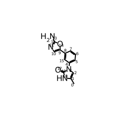 Cc1cn(-c2cccc(-c3cnc(N)o3)c2)c(=O)[nH]1